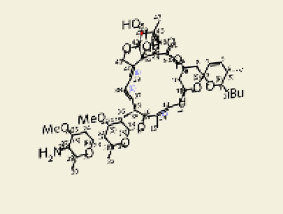 CCC(C)[C@H]1O[C@]2(C=C[C@@H]1C)C[C@@H]1C[C@@H](C/C=C(\C)[C@@H](O[C@H]3C[C@H](OC)C([C@H]4C[C@H](OC)[C@H](N)[C@H](C)O4)[C@H](C)O3)[C@@H](C)/C=C/C=C3\CO[C@@H]4[C@H](O)C(C)=C[C@@H](C(=O)O1)[C@]34O)O2